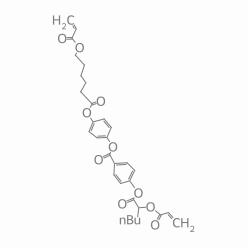 C=CC(=O)OCCCCCC(=O)Oc1ccc(OC(=O)c2ccc(OC(=O)C(CCCC)OC(=O)C=C)cc2)cc1